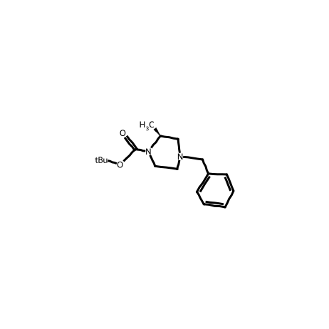 C[C@H]1CN(Cc2ccccc2)CCN1C(=O)OC(C)(C)C